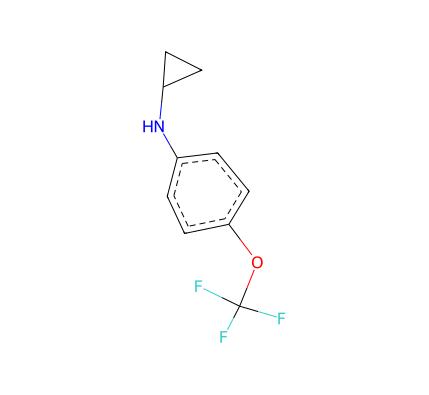 FC(F)(F)Oc1ccc(NC2CC2)cc1